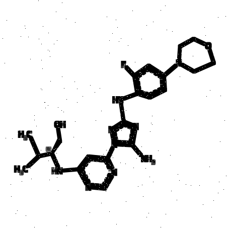 CC(C)[C@@H](CO)Nc1cc(-n2nc(Nc3ccc(N4CCOCC4)cc3F)nc2N)ncn1